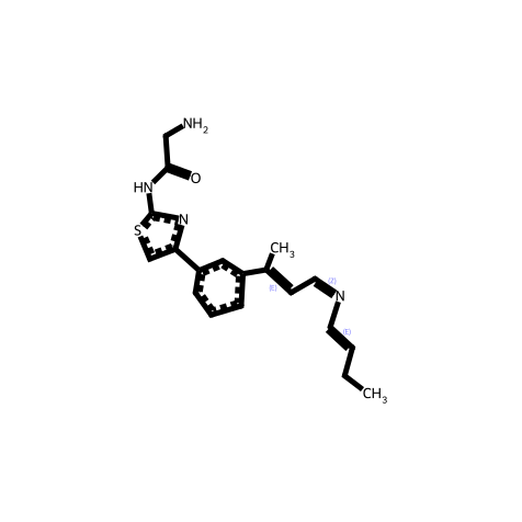 CC/C=C/N=C\C=C(/C)c1cccc(-c2csc(NC(=O)CN)n2)c1